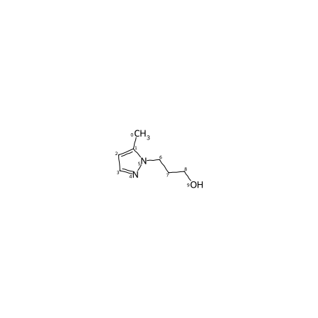 Cc1ccnn1CCCO